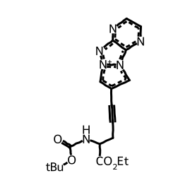 CCOC(=O)C(CC#Cc1cn2c3nccnc3[n-][n+]2c1)NC(=O)OC(C)(C)C